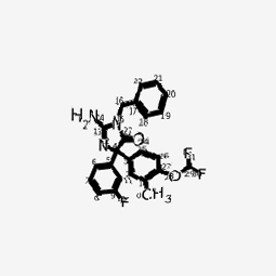 Cc1cc(C2(c3cccc(F)c3)N=C(N)N(Cc3ccccc3)C2=O)ccc1OC(F)F